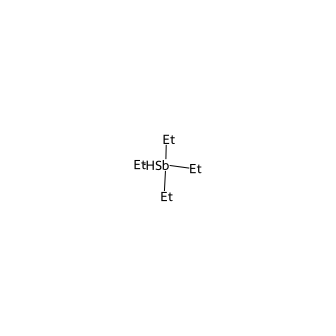 C[CH2][SbH]([CH2]C)([CH2]C)[CH2]C